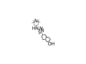 CN1C(C)(C)CC(Nc2nnc(-c3ccc4cc(O)ccc4c3)s2)CC1(C)C